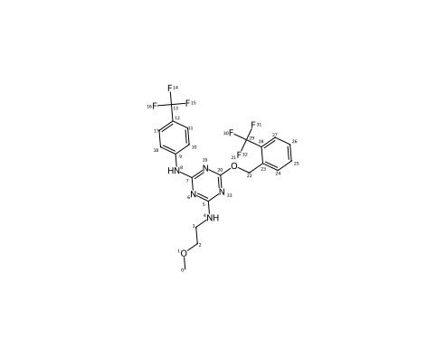 COCCNc1nc(Nc2ccc(C(F)(F)F)cc2)nc(OCc2ccccc2C(F)(F)F)n1